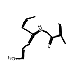 C=C(C)C(=O)NC(/C=C\C)=C/C=C/O